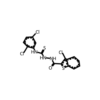 O=C(NNC(=S)Nc1cc(Cl)ccc1Cl)c1sc2ccccc2c1Cl